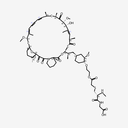 CN[C@@H](CSCC(=O)OCCO[C@@H]1CC[C@@H](C[C@@H](C)[C@@H]2CC(=O)[C@H](C)/C=C(\C)[C@@H](O)[C@@H](OC)C(=O)[C@H](C)C[C@H](C)/C=C/C=C/C=C(\C)[C@@H](OC)C[C@@H]3CC[C@@H](C)[C@@](O)(O3)C(=O)C(=O)N3CCCC[C@H]3C(=O)O2)C[C@H]1OC)C(=O)NCC(=O)O